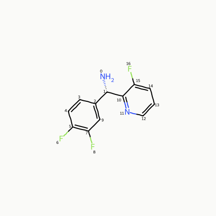 N[C@@H](c1ccc(F)c(F)c1)c1ncccc1F